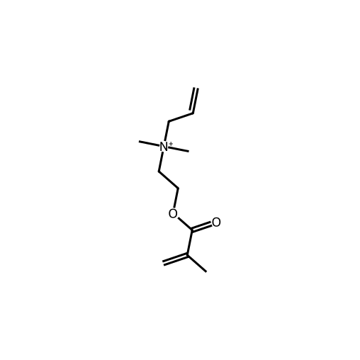 C=CC[N+](C)(C)CCOC(=O)C(=C)C